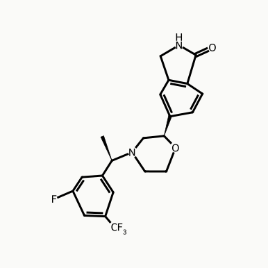 C[C@H](c1cc(F)cc(C(F)(F)F)c1)N1CCO[C@H](c2ccc3c(c2)CNC3=O)C1